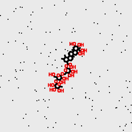 CC1CC(C(=O)O[C@@H]2OC(CO[C@@H]3OC(CO)C(O[C@H]4OC(C)C(O)[C@H](O)[C@@H]4O)[C@@H](O)[C@@H]3O)C(O)[C@@H](O)[C@@H]2O)C2CCC3(C)C(=CCC4C3CC(O)C3C(C)(CO)C(O)C(O)CC43C)C2C1C